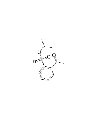 CC(=O)c1ccccc1S(=O)(=O)OC(C)C